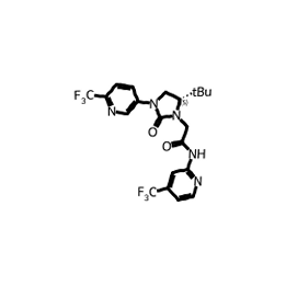 CC(C)(C)[C@H]1CN(c2ccc(C(F)(F)F)nc2)C(=O)N1CC(=O)Nc1cc(C(F)(F)F)ccn1